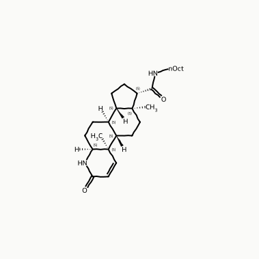 CCCCCCCCNC(=O)[C@H]1CC[C@H]2[C@@H]3CC[C@@H]4NC(=O)C=C[C@]4(C)[C@H]3CC[C@]12C